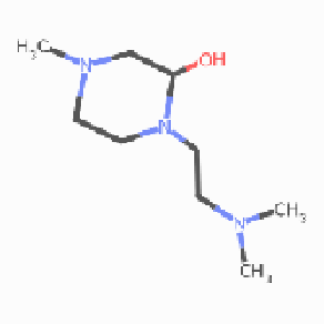 CN(C)CCN1CCN(C)CC1O